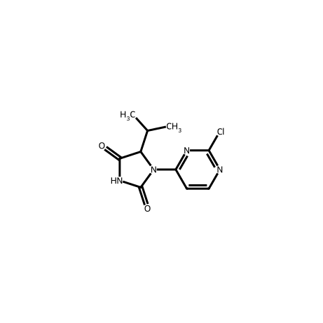 CC(C)C1C(=O)NC(=O)N1c1ccnc(Cl)n1